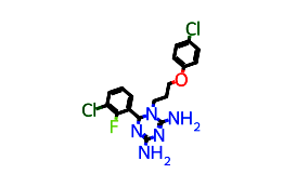 NC1=NC(c2cccc(Cl)c2F)N(CCCOc2ccc(Cl)cc2)C(N)=N1